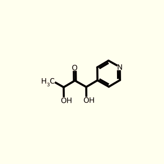 CC(O)C(=O)C(O)c1ccncc1